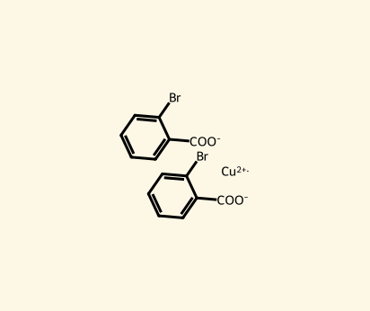 O=C([O-])c1ccccc1Br.O=C([O-])c1ccccc1Br.[Cu+2]